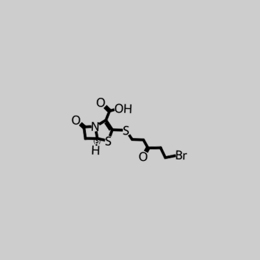 O=C(CCBr)CCSC1=C(C(=O)O)N2C(=O)C[C@@H]2S1